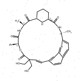 CC(C)[C@@H]1OC(=O)C(CO)(CO)/C=C/c2ccc3ccc(nc3c2)[C@@H](C)NC(=O)[C@@H]2CCCN(N2)C(=O)[C@H](C)NC1=O